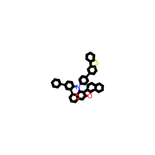 c1ccc(-c2ccc(N(c3ccc(-c4ccc5sc6ccccc6c5c4)cc3)c3cccc4oc5c6ccccc6ccc5c34)c(-c3ccccc3)c2)cc1